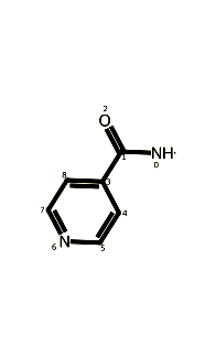 [NH]C(=O)c1ccncc1